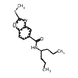 CCCC(CCC)NC(=O)c1ccc2oc(SC)nc2c1